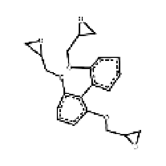 c1ccc(-c2c(OCC3CO3)cccc2OCC2CO2)c(OCC2CO2)c1